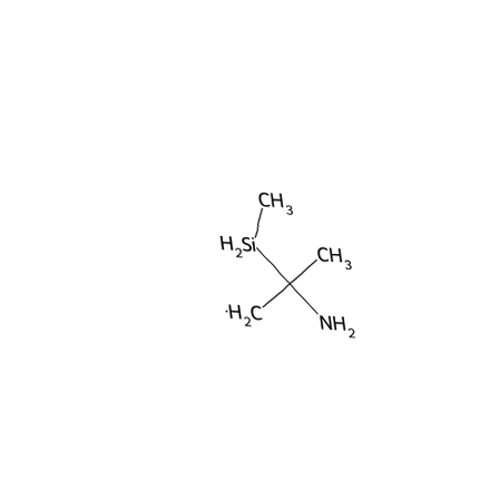 [CH2]C(C)(N)[SiH2]C